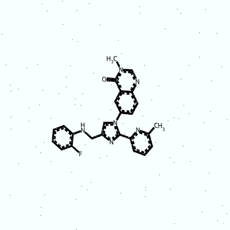 Cc1cccc(-c2nc(CNc3ccccc3F)cn2-c2ccc3ncn(C)c(=O)c3c2)n1